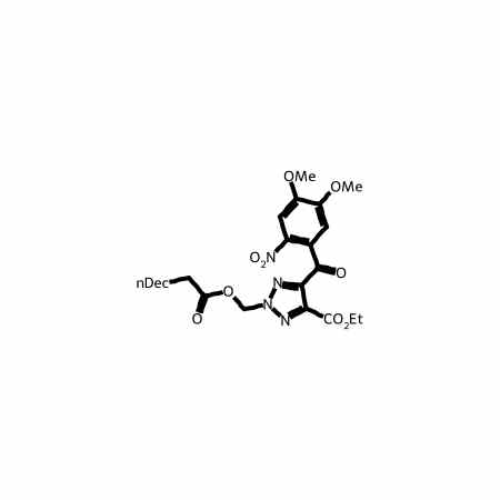 CCCCCCCCCCCC(=O)OCn1nc(C(=O)OCC)c(C(=O)c2cc(OC)c(OC)cc2[N+](=O)[O-])n1